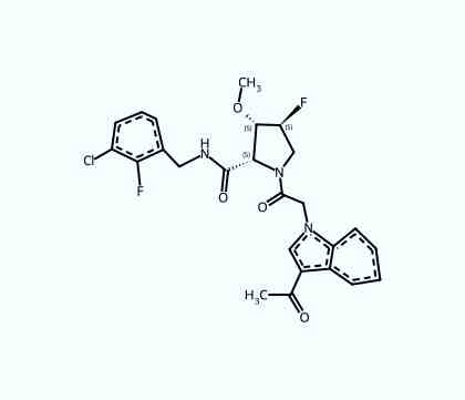 CO[C@H]1[C@@H](C(=O)NCc2cccc(Cl)c2F)N(C(=O)Cn2cc(C(C)=O)c3ccccc32)C[C@@H]1F